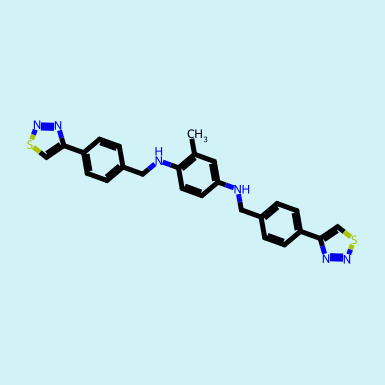 Cc1cc(NCc2ccc(-c3csnn3)cc2)ccc1NCc1ccc(-c2csnn2)cc1